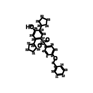 O=S(=O)(c1ccc(OCc2ccccc2)cc1)c1cc(C2CCCC2)c(O)cc1C1CCCC1